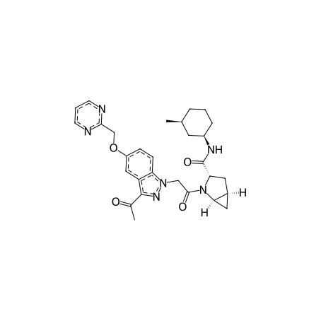 CC(=O)c1nn(CC(=O)N2[C@@H]3C[C@@H]3C[C@H]2C(=O)N[C@@H]2CCC[C@H](C)C2)c2ccc(OCc3ncccn3)cc12